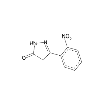 O=C1CC(c2ccccc2[N+](=O)[O-])=NN1